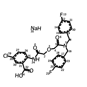 O=C(COCC(=O)N(Cc1ccc(F)cc1)Cc1ccc(F)cc1)Nc1ccc(Cl)cc1C(=O)O.[NaH]